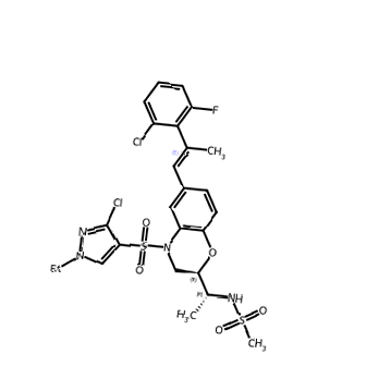 CCn1cc(S(=O)(=O)N2C[C@H]([C@@H](C)NS(C)(=O)=O)Oc3ccc(/C=C(\C)c4c(F)cccc4Cl)cc32)c(Cl)n1